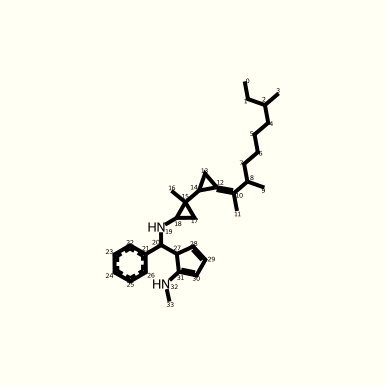 CCC(C)CCCCC(C)/C(C)=C1\CC1C1(C)CC1NC(c1ccccc1)C1C=CC=C1NC